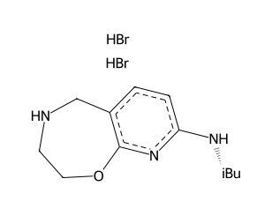 Br.Br.CC[C@@H](C)Nc1ccc2c(n1)OCCNC2